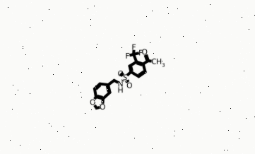 CC(=O)c1ccc(S(=O)(=O)NCc2ccc3c(c2)OCO3)cc1C(F)(F)F